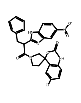 O=C1Nc2ccc(Cl)cc2C2(CCN(C(=O)C(Cc3ccccc3)c3nc4cc([N+](=O)[O-])ccc4[nH]3)C2)O1